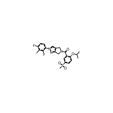 Cc1c(F)ccc(-n2cc3c(n2)CN(C(=O)c2cc(S(C)(=O)=O)ccc2OC(C)C)C3)c1F